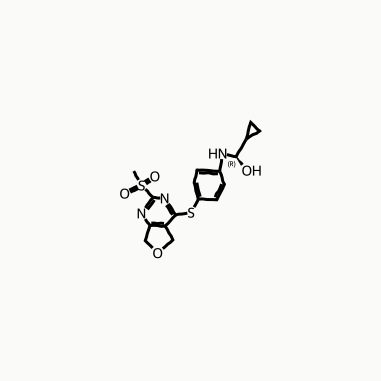 CS(=O)(=O)c1nc2c(c(Sc3ccc(N[C@H](O)C4CC4)cc3)n1)COC2